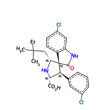 CCC(C)(C)C[C@H]1N[C@@H](C(=O)O)[C@H](c2cccc(Cl)c2)[C@@]12C(=O)Nc1cc(Cl)ccc12